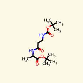 CC(NC(=O)C[CH]NC(=O)OC(C)(C)C)C(=O)OC(C)(C)C